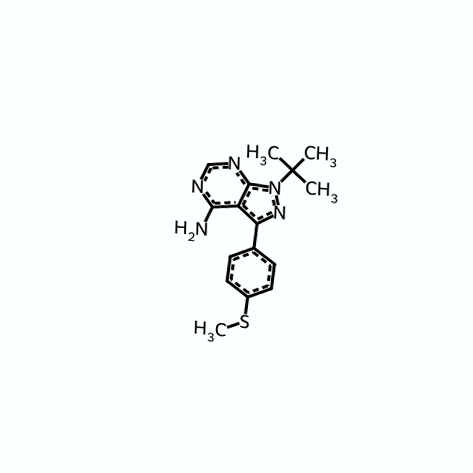 CSc1ccc(-c2nn(C(C)(C)C)c3ncnc(N)c23)cc1